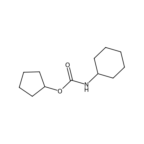 O=C(NC1CCCCC1)OC1CCCC1